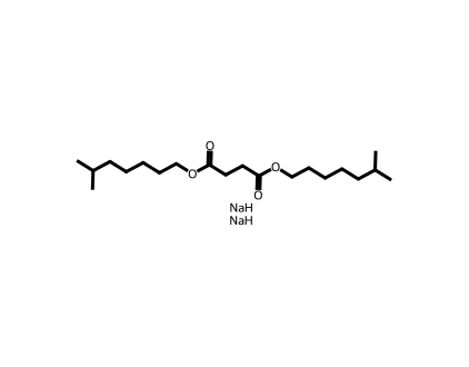 CC(C)CCCCCOC(=O)CCC(=O)OCCCCCC(C)C.[NaH].[NaH]